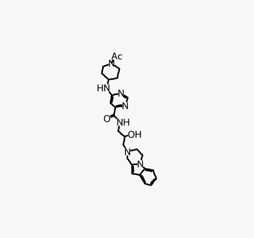 CC(=O)N1CCC(Nc2cc(C(=O)NCC(O)CN3CCn4c(cc5ccccc54)C3)ncn2)CC1